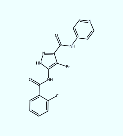 O=C(Nc1[nH]nc(C(=O)Nc2ccncc2)c1Br)c1ccccc1Cl